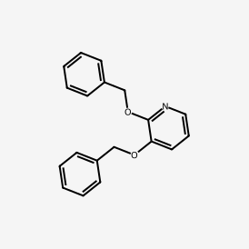 c1ccc(COc2cccnc2OCc2ccccc2)cc1